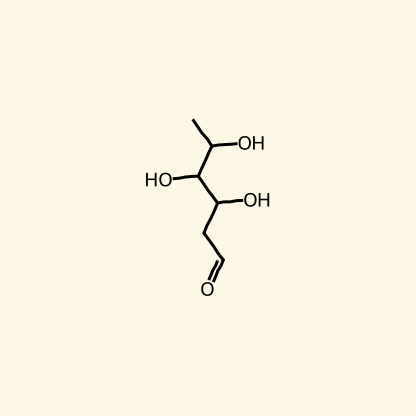 CC(O)C(O)C(O)CC=O